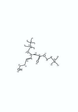 CC(C)(C)[Si](C)(C)O[C@H](/C=C/CCO)CC(=O)OCC[Si](C)(C)C